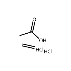 C=C.CC(=O)O.Cl.Cl